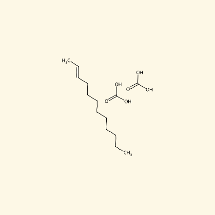 C/C=C/CCCCCCCCC.O=C(O)O.O=C(O)O